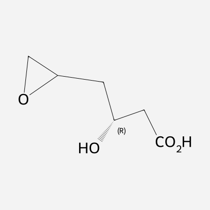 O=C(O)C[C@H](O)CC1CO1